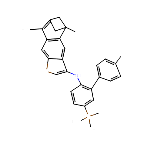 CC1=C2CC(C)(C2)c2cc3c(Nc4ccc(S(C)(C)C)cc4-c4ccc(C(C)(C)C)cc4)csc3cc21